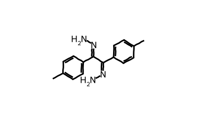 Cc1ccc(C(=NN)C(=NN)c2ccc(C)cc2)cc1